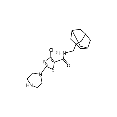 Cc1nc(N2CCNCC2)sc1C(=O)NCC12CC3CC(CC(C3)C1)C2